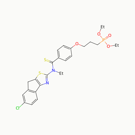 CCOP(=O)(CCCOc1ccc(C(=S)N(CC)c2nc3c(s2)Cc2cc(Cl)ccc2-3)cc1)OCC